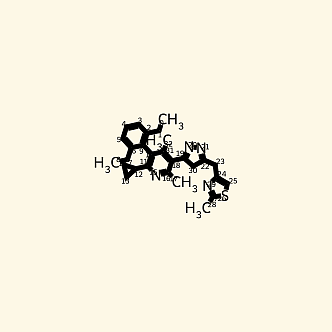 CCc1cccc(CC)c1-c1c(C2CC2)nc(C)c(C2=NN=C(Cc3csc(C)n3)C2)c1C